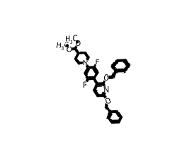 COC(OC)C1CCN(c2cc(F)c(-c3ccc(OCc4ccccc4)nc3OCc3ccccc3)cc2F)CC1